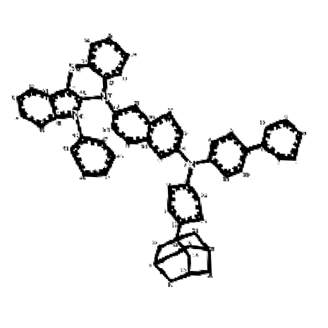 c1ccc(-c2ccc(N(c3ccc(C45CC6CC(CC(C6)C4)C5)cc3)c3ccc4cc(N5c6ccccc6Sc6c5n(-c5ccccc5)c5ccccc65)ccc4c3)cc2)cc1